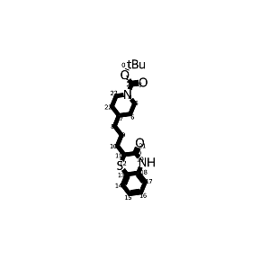 CC(C)(C)OC(=O)N1CCC(CCCC2Sc3ccccc3NC2=O)CC1